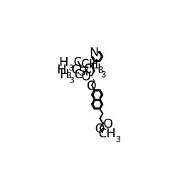 COC(=O)CCc1ccc2cc(OC[C@@H](CCc3cccnc3)O[Si](C)(C)C(C)(C)C)ccc2c1